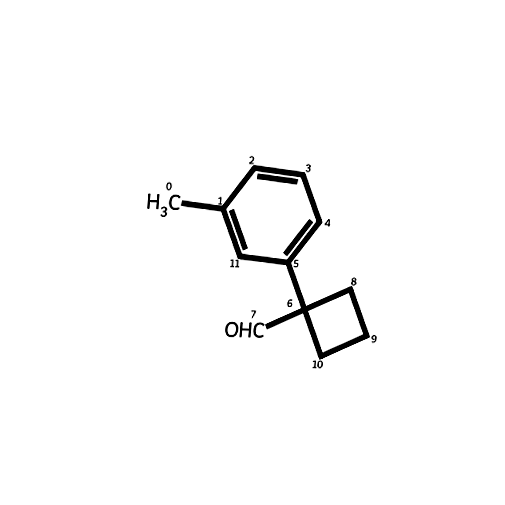 Cc1cccc(C2(C=O)CCC2)c1